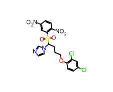 O=[N+]([O-])c1ccc([N+](=O)[O-])c(S(=O)(=O)C(CCCOc2ccc(Cl)cc2Cl)n2ccnc2)c1